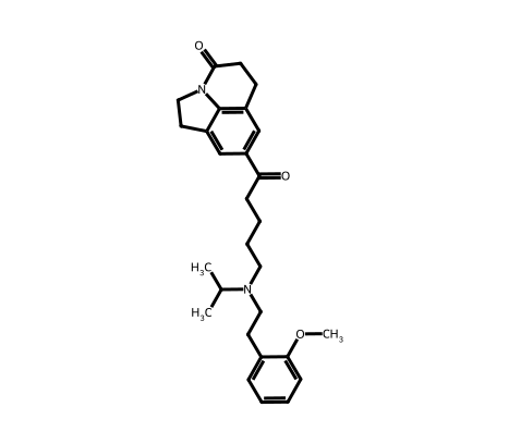 COc1ccccc1CCN(CCCCC(=O)c1cc2c3c(c1)CCN3C(=O)CC2)C(C)C